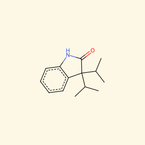 CC(C)C1(C(C)C)C(=O)Nc2ccccc21